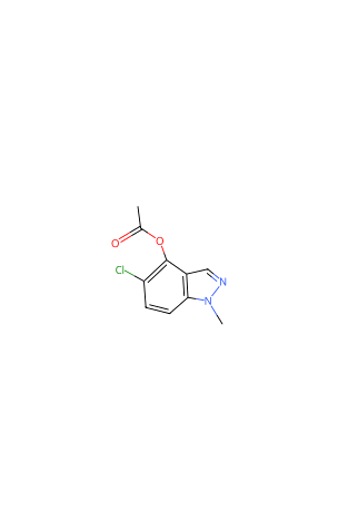 CC(=O)Oc1c(Cl)ccc2c1cnn2C